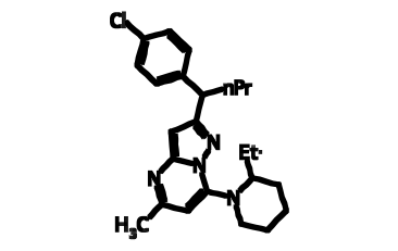 [CH2][CH]C1CCCCN1c1cc(C)nc2cc(C(CCC)c3ccc(Cl)cc3)nn12